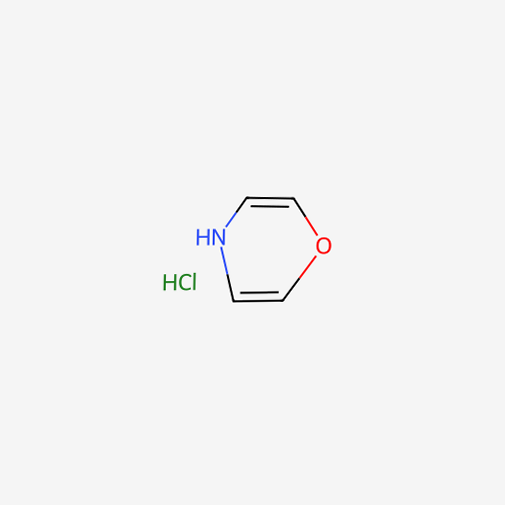 C1=COC=CN1.Cl